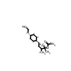 CC(CC[C@H]1CC[C@H](CCO)CC1)C(C)(C)OC(N)=O